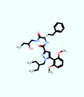 CCC(O)CNC(=O)[C@H](CCc1ccccc1)NC(=O)c1cc(-c2c(OC)cccc2OC)n(CC(CC)CC)n1